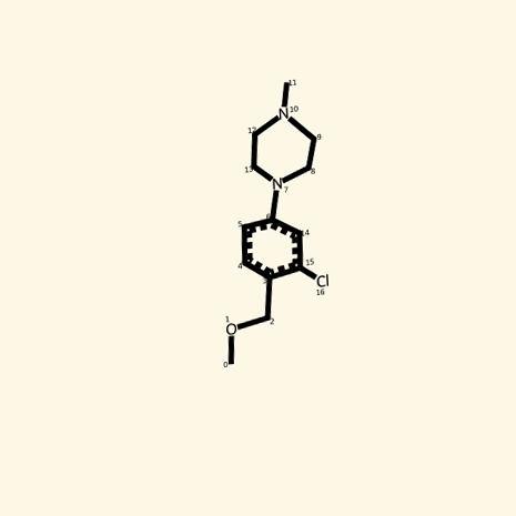 COCc1ccc(N2CCN(C)CC2)cc1Cl